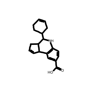 O=C(O)c1ccc2c(c1)C1C=CCC1C(C1CC=CCC1)N2